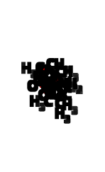 Cc1c(C)c(N)c2c(c1C)c1c3c(=O)n4c(=O)c3c2c2c(=O)n(c(=O)c21)c1c(N)c(C)c(C)c(C)c14